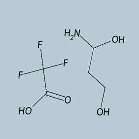 NC(O)CCO.O=C(O)C(F)(F)F